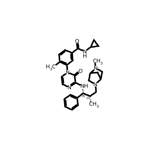 Cc1ccc(C(=O)NC2CC2)cc1-n1ccnc(N[C@@H](c2ccccc2)[C@@H](C)CN2CC3CC2CN3C)c1=O